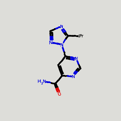 CC(C)c1ncnn1-c1cc(C(N)=O)ncn1